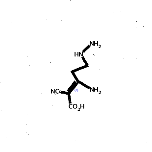 N#C/C(C(=O)O)=C(/N)CCNN